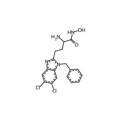 NC(CCc1nc2cc(Cl)c(Cl)cc2n1Cc1ccccc1)C(=O)NO